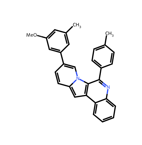 COc1cc(C)cc(-c2ccc3cc4c5ccccc5nc(-c5ccc(C)cc5)c4n3c2)c1